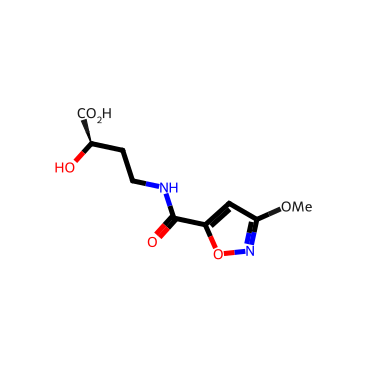 COc1cc(C(=O)NCC[C@@H](O)C(=O)O)on1